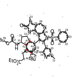 CCOC(=O)CCc1ccc(-c2c(-c3cn(C)nc3F)n(S(=O)(=O)c3ccccc3)c3ncc4c(c23)n([C@H]2C[C@H](NC(=O)OC(C)(C)C)[C@H](O[Si](C)(C)C(C)(C)C)C2)c(=O)n4C)cc1